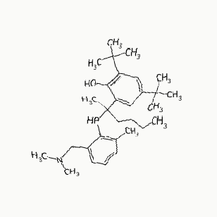 CCCCC(C)(Pc1c(C)cccc1CN(C)C)c1cc(C(C)(C)C)cc(C(C)(C)C)c1O